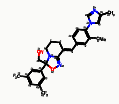 COc1cc(/C=C2\CCCN3C2=NOC3(CO)c2cc(C(F)(F)F)cc(C(F)(F)F)c2)ccc1-n1cnc(C)c1